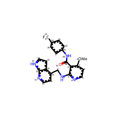 COc1ccnc(NCc2ccnc3[nH]ccc23)c1C(=O)Nc1ccc(C(F)(F)F)cc1